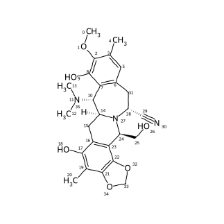 COc1c(C)cc2c(c1O)[C@@H](N(C)C)[C@@H]1Cc3c(O)c(C)c4c(c3[C@H](CO)N1[C@@H](C#N)C2)OCO4